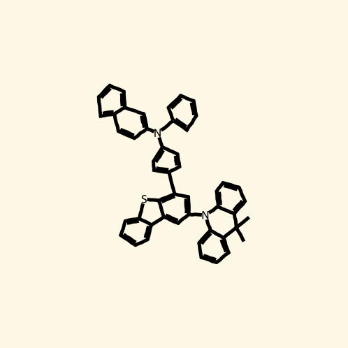 CC1(C)c2ccccc2N(c2cc(-c3ccc(N(c4ccccc4)c4ccc5ccccc5c4)cc3)c3sc4ccccc4c3c2)c2ccccc21